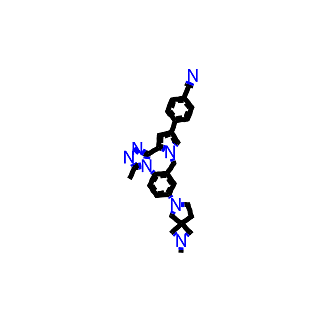 Cc1nnc2n1-c1ccc(N3CCC4(CN(C)C4)C3)cc1Cn1cc(-c3ccc(C#N)cc3)cc1-2